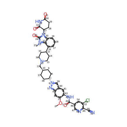 COc1cc2nn([C@H]3CC[C@H](CN4CCC(c5cccc6c5n(C)c(=O)n6C5CCC(=O)NC5=O)CC4)CC3)cc2cc1NC(=O)c1cnc(C#N)c(Cl)c1